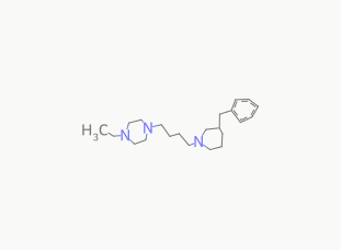 CCN1CCN(CCCCN2CCCC(Cc3ccccc3)C2)CC1